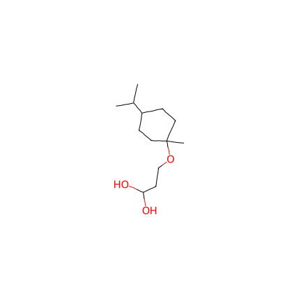 CC(C)C1CCC(C)(OCCC(O)O)CC1